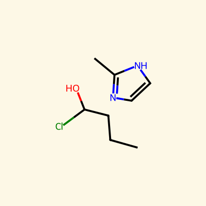 CCCC(O)Cl.Cc1ncc[nH]1